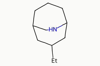 CCC1CC2CCCC(C1)NC2